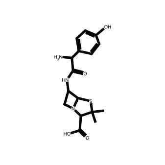 CC1(C)SC2C(NC(=O)C(N)c3ccc(O)cc3)CN2C1C(=O)O